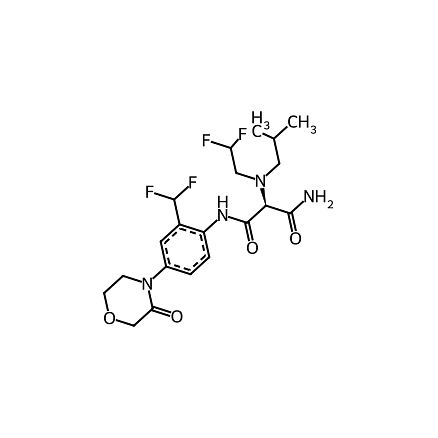 CC(C)CN(CC(F)F)[C@@H](C(N)=O)C(=O)Nc1ccc(N2CCOCC2=O)cc1C(F)F